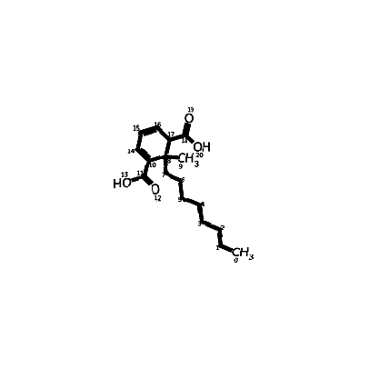 CCCCCCCCC1(C)C(C(=O)O)=CC=CC1C(=O)O